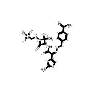 CC1(C)[C@H](NC(=O)C(=NOCc2ccc(C(=N)N)cc2)c2csc(N)n2)C(=O)N1OCS(=O)(=O)O